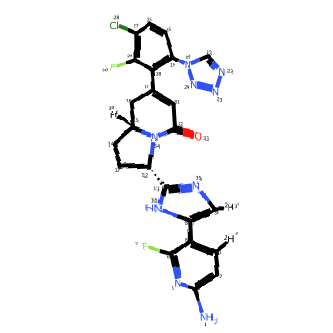 [2H]c1cc(N)nc(F)c1-c1[nH]c([C@@H]2CC[C@@H]3CC(c4c(-n5cnnn5)ccc(Cl)c4F)=CC(=O)N32)nc1[2H]